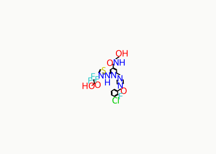 O=C(NCCO)c1cc(CN2CCN(C(=O)c3cccc(Cl)c3F)CC2)nc(Nc2nccs2)c1.O=C(O)C(F)(F)F